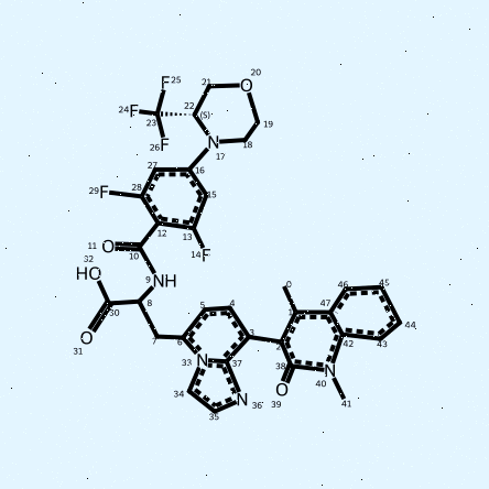 Cc1c(-c2ccc(CC(NC(=O)c3c(F)cc(N4CCOC[C@H]4C(F)(F)F)cc3F)C(=O)O)n3ccnc23)c(=O)n(C)c2ccccc12